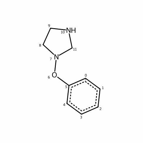 [c]1ccccc1ON1CCNC1